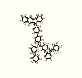 C1=C2c3ccccc3N(c3ccccc3)C2CC=C1N(c1ccc(-c2ccc(-n3c4ccccc4c4cc5ccccc5cc43)cc2)cc1)c1cccc(-c2ccccc2)c1